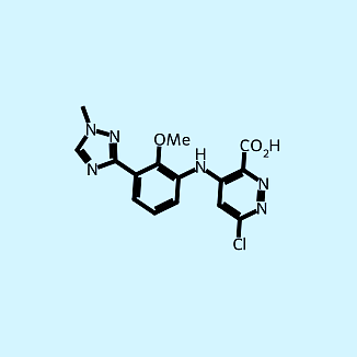 COc1c(Nc2cc(Cl)nnc2C(=O)O)cccc1-c1ncn(C)n1